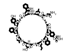 CCCC[C@H]1C(=O)N(C)CC(=O)N[C@@H](CC(=O)O)C(=O)N[C@@H](C(C)C)C(=O)N(C)[C@@H](Cc2ccccc2)C(=O)N[C@@H](Cc2ccc(O)cc2)C(=O)N(C)CC(=O)N[C@@H](Cc2c[nH]c3ccccc23)C(=O)NN[C@@H](CC(C)C)C(=O)N[C@H](C(=O)NCC(N)=O)CSCC(=O)N[C@@H](Cc2ccc(OP(=O)(O)O)cc2)C(=O)N(C)[C@@H](Cc2ccccc2)C(=O)N1C